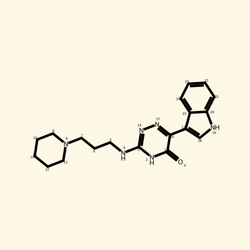 O=c1[nH]c(NCCCN2CCCCC2)nnc1-c1c[nH]c2ccccc12